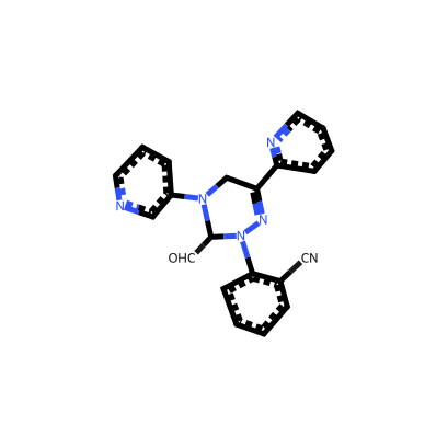 N#Cc1ccccc1N1N=C(c2ccccn2)CN(c2cccnc2)C1C=O